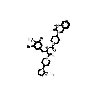 Cc1c(Br)cc(CC(NC(=O)N2CCC(N3Cc4ccccc4NC3=O)CC2)C(=O)N2CCC(N3CCC[C@@H]3C)CC2)cc1Br